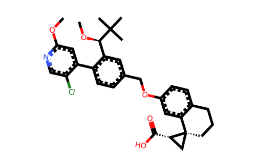 COc1cc(-c2ccc(COc3ccc4c(c3)[C@@]3(CCC4)C[C@@H]3C(=O)O)cc2[C@@H](OC)C(C)(C)C)c(Cl)cn1